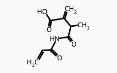 C=CC(=O)NC(=O)C(C)C(=C)C(=O)O